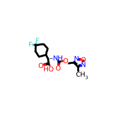 Cc1nonc1COC(=O)N[C@H](C(=O)O)C1CCC(F)(F)CC1